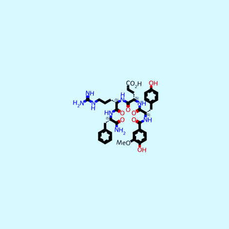 COc1cc(C(=O)N[C@@H](Cc2ccc(O)cc2)C(=O)N[C@@H](CCC(=O)O)C(=O)N[C@@H](CCCNC(=N)N)C(=O)N[C@@H](Cc2ccccc2)C(N)=O)ccc1O